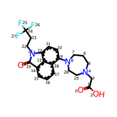 O=C(O)CN1CCCN(c2ccc3c4c(cccc24)C(=O)N3CCC(F)(F)F)CC1